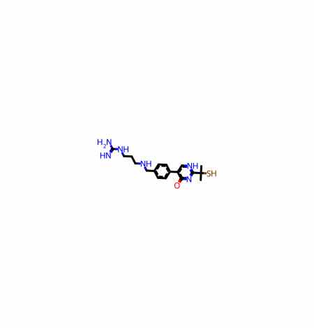 CC(C)(S)c1nc(=O)c(-c2ccc(CNCCCNC(=N)N)cc2)c[nH]1